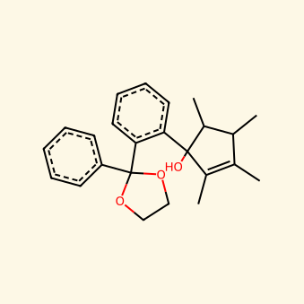 CC1=C(C)C(O)(c2ccccc2C2(c3ccccc3)OCCO2)C(C)C1C